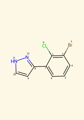 Clc1c(Br)cccc1-c1c[c][nH]n1